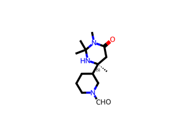 CN1C(=O)C[C@@](C)(C2CCCN(C=O)C2)NC1(C)C